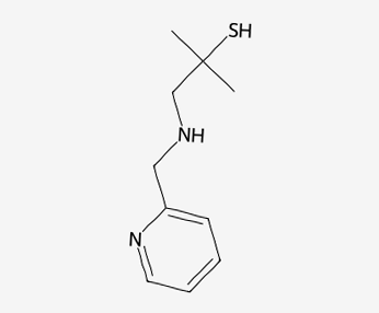 CC(C)(S)CNCc1ccccn1